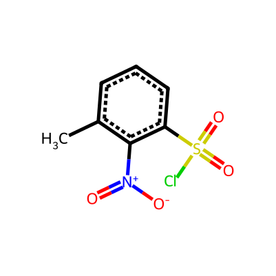 Cc1cccc(S(=O)(=O)Cl)c1[N+](=O)[O-]